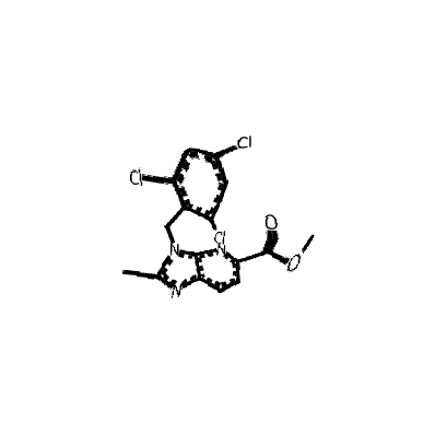 COC(=O)c1ccc2nc(C)n(Cc3c(Cl)cc(Cl)cc3Cl)c2n1